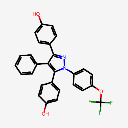 Oc1ccc(-c2nn(-c3ccc(OC(F)(F)F)cc3)c(-c3ccc(O)cc3)c2-c2ccccc2)cc1